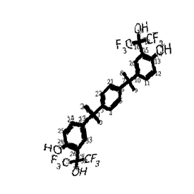 CC(C)(c1ccc(C(C)(C)c2ccc(O)c(C(O)(C(F)(F)F)C(F)(F)F)c2)cc1)c1ccc(O)c(C(O)(C(F)(F)F)C(F)(F)F)c1